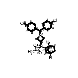 CS(=O)(=O)N(C1CN(C(c2ccc(Cl)cc2)c2ccc(Cl)cc2)C1)[C@@H]1C[C@H]2CC[C@@H]1C2